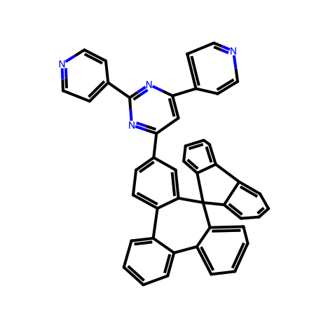 c1ccc2c(c1)-c1ccccc1C1(c3cc(-c4cc(-c5ccncc5)nc(-c5ccncc5)n4)ccc3-2)c2ccccc2-c2ccccc21